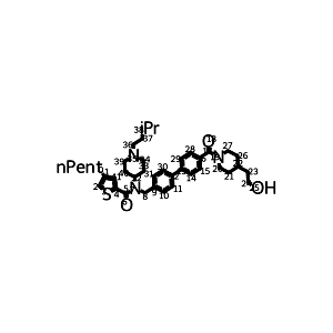 CCCCCc1csc(C(=O)N(Cc2ccc(-c3ccc(C(=O)N4CCC(CCO)CC4)cc3)cc2)C2CCN(CCC(C)C)CC2)c1